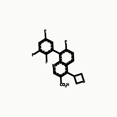 O=C(O)c1cnc2c(-c3cc(F)cc(F)c3F)c(F)ccc2c1C1CSC1